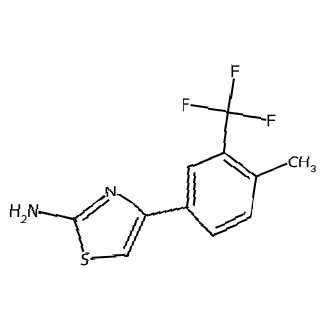 Cc1ccc(-c2csc(N)n2)cc1C(F)(F)F